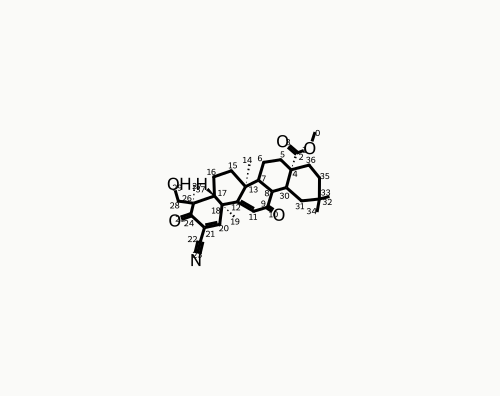 COC(=O)[C@@]12CCC3C(C(=O)C=C4[C@@]3(C)CC[C@@H]3[C@]4(C)C=C(C#N)C(=O)[C@@]3(C)CO)C1CC(C)(C)CC2